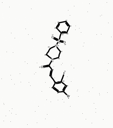 O=C(C=Cc1ccc(Br)cc1F)N1CCN(S(=O)(=O)c2ccccc2)CC1